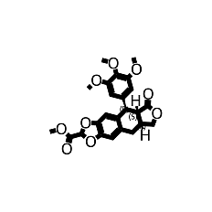 COC(=O)C1Oc2cc3c(cc2O1)[C@@H](c1cc(OC)c(OC)c(OC)c1)[C@@H]1C(=O)OC[C@@H]1C3